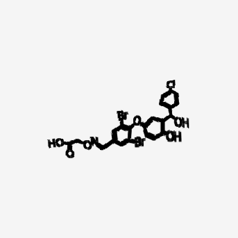 O=C(O)CON=Cc1cc(Br)c(Oc2ccc(O)c(C(O)c3ccc(Cl)cc3)c2)c(Br)c1